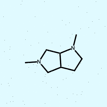 CN1CC2CCN(C)C2C1